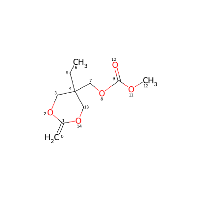 C=C1OCC(CC)(COC(=O)OC)CO1